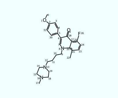 COc1ccc(-c2cn(CCCCN3CCN(C)CC3)c3c(C)ccc(F)c3c2=O)cc1